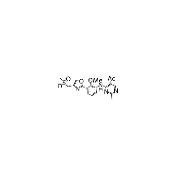 COc1c(Nc2nc(C)ncc2C(C)=O)cccc1-c1nc(CS(C)(=O)=O)co1